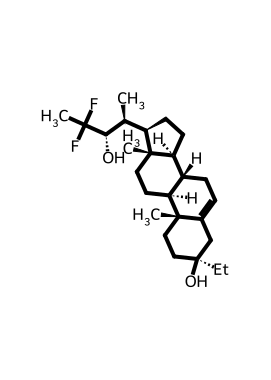 CC[C@]1(O)CC[C@@]2(C)C(=CC[C@H]3[C@@H]4CC[C@H]([C@H](C)[C@H](O)C(C)(F)F)[C@@]4(C)CC[C@@H]32)C1